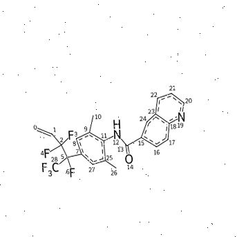 C=CC(F)(F)C(F)(c1cc(C)c(NC(=O)c2ccc3ncccc3c2)c(C)c1)C(F)(F)F